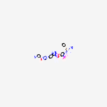 CN(C)CC[C@H](CSc1ccccc1)Nc1ccc(S(=O)(=O)Nc2ncnc3cc(N4CCN(C(=O)c5cccc(N(C)C)c5)CC4)ccc23)cc1[N+](=O)[O-]